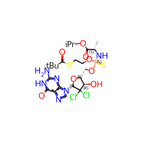 CC(C)OC(=O)[C@H](C)N[P@@](=S)(OCCSC(=O)C(C)(C)C)OC[C@H]1O[C@@H](n2cnc3c(=O)[nH]c(N)nc32)C(Cl)(Cl)[C@@H]1O